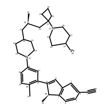 C#Cc1ccc2c(c1)C=C(c1cc(N3CCC(C[C@@H](C)CC4(N5CCC(C(C)C)CC5)CCC4)CC3)ccc1C)[C@@H]2C